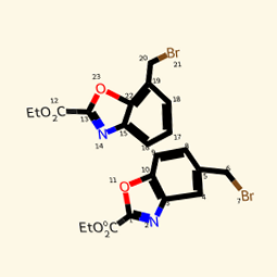 CCOC(=O)c1nc2cc(CBr)ccc2o1.CCOC(=O)c1nc2cccc(CBr)c2o1